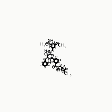 COc1cc(CNC[C@@H](O)[C@H](Cc2ccccc2)NC(=O)c2cccc(C(=O)N(C)Cc3nc(C)cs3)c2)nc(N(C)C)n1